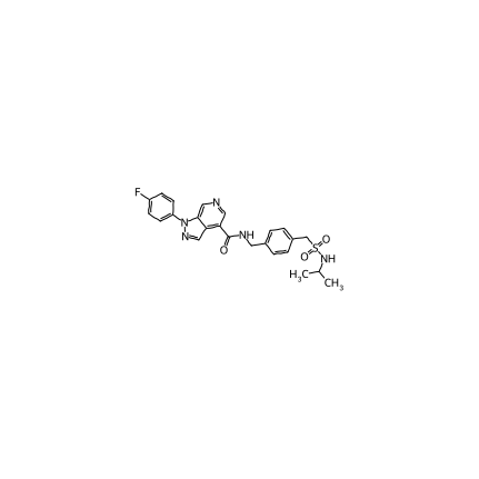 CC(C)NS(=O)(=O)Cc1ccc(CNC(=O)c2cncc3c2cnn3-c2ccc(F)cc2)cc1